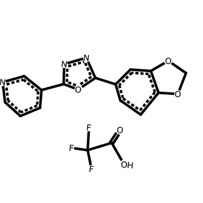 O=C(O)C(F)(F)F.c1cncc(-c2nnc(-c3ccc4c(c3)OCO4)o2)c1